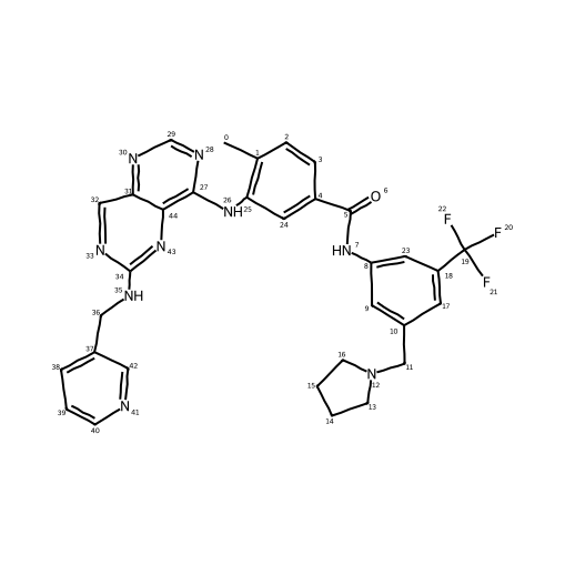 Cc1ccc(C(=O)Nc2cc(CN3CCCC3)cc(C(F)(F)F)c2)cc1Nc1ncnc2cnc(NCc3cccnc3)nc12